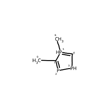 CC1=PP[C]=[PH]1C